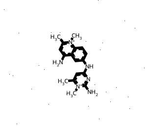 Cc1cc(Nc2ccc3c(c2)c(N)cc(C)[n+]3C)nc(N)[n+]1C